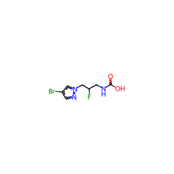 O=C(O)NCC(F)Cn1cc(Br)cn1